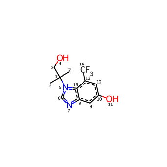 CC(C)(CO)n1cnc2cc(O)cc(C(F)(F)F)c21